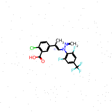 C=NN(/C=C(\C)c1ccc(Cl)c(C(=O)O)c1)c1c(F)cc(C(F)(F)F)cc1F